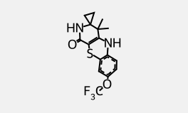 CC1(C)C2=C(Sc3cc(OC(F)(F)F)ccc3N2)C(=O)NC12CC2